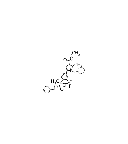 CCOC(=O)c1cc(-c2ccc(C(C)(C)C(=O)OCc3ccccc3)c(C(F)(F)F)c2)n(CC2CCCCC2)c1C